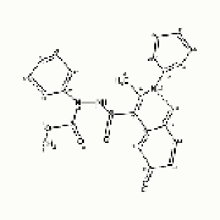 COC(=O)N(NC(=O)c1c2cc(=O)ccc-2cn(-c2ccccc2)c1C)c1ccccc1